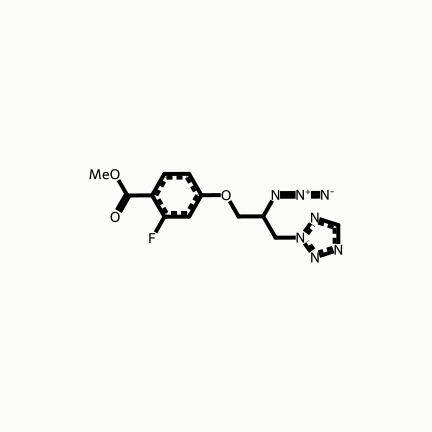 COC(=O)c1ccc(OCC(Cn2ncnn2)N=[N+]=[N-])cc1F